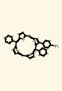 Nc1ccc(C2=CC3=CC4=NC(=C(c5ccccc5)C5=NC(=CC6=NC(=C(c7ccccc7)C2=N3)C=C6)C=C5)C=C4)cc1